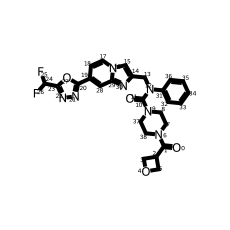 O=C(C1COC1)N1CCN(C(=O)N(Cc2cn3ccc(-c4nnc(C(F)F)o4)cc3n2)c2ccccc2)CC1